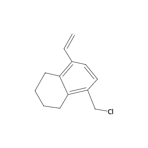 C=Cc1ccc(CCl)c2c1CCCC2